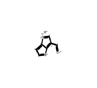 O=CC1=C2N=CC=C2N=C1.[H+]